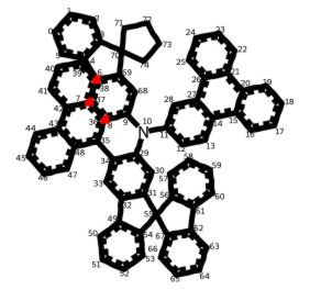 c1ccc2c(c1)-c1ccc(N(c3ccc4c5ccccc5c5ccccc5c4c3)c3cc4c(cc3-c3cc5ccccc5c5ccccc35)-c3ccccc3C43c4ccccc4-c4ccccc43)cc1C21CCCC1